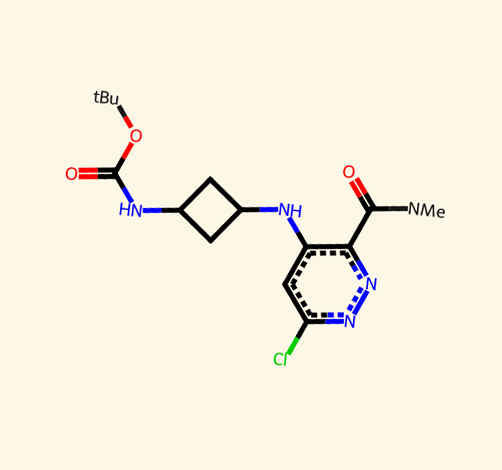 CNC(=O)c1nnc(Cl)cc1NC1CC(NC(=O)OC(C)(C)C)C1